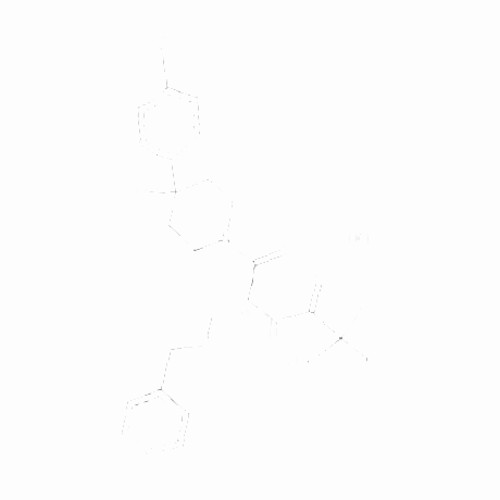 CC(C)(N)C(=O)N[C@H](COCc1ccccc1)C(=O)N1CCC(O)(c2ccc(C(F)(F)F)cc2)CC1.Cl